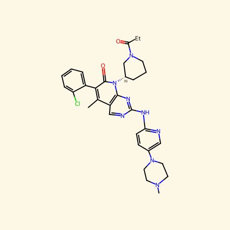 CCC(=O)N1CCC[C@H](n2c(=O)c(-c3ccccc3Cl)c(C)c3cnc(Nc4ccc(N5CCN(C)CC5)cn4)nc32)C1